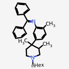 CCCCCCN1CCC(C)(c2ccc(C)c(N=C(c3ccccc3)c3ccccc3)c2)C(C)C1